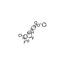 O=C(OCc1ccccc1)N1CCN([C@@H]2CN3c4cc(Cl)nc(C(F)F)c4C=C(F)C[C@@H]23)CC1